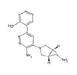 Nc1nnc(-c2ccccc2O)cc1N1C[C@@H]2C(N)[C@@H]2C1